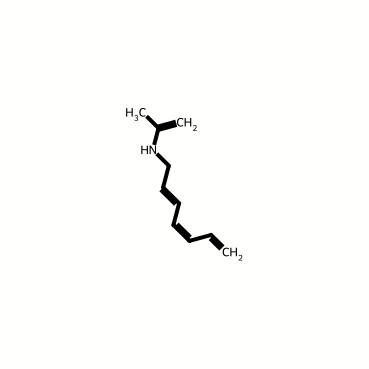 C=C/C=C\C=C\CNC(=C)C